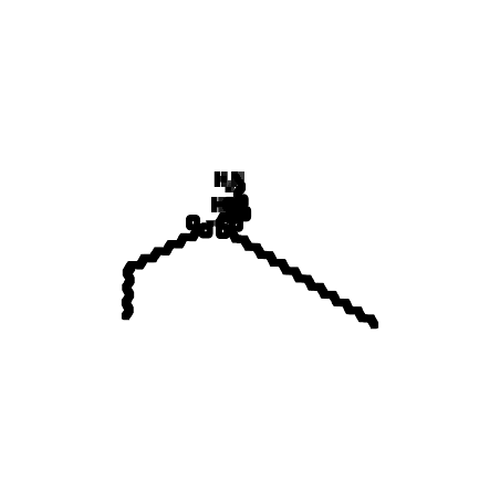 CCCCCC/C=C\CCCCCCCCCC(=O)OC[C@H](COP(=O)(O)OCCN)OC(=O)CCCCCCCCCCCCCCCCCCCCCCC